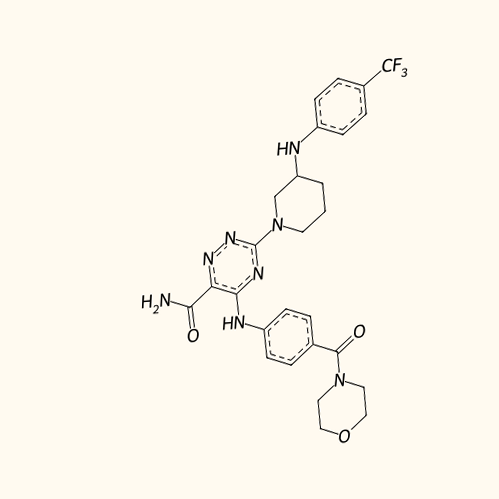 NC(=O)c1nnc(N2CCCC(Nc3ccc(C(F)(F)F)cc3)C2)nc1Nc1ccc(C(=O)N2CCOCC2)cc1